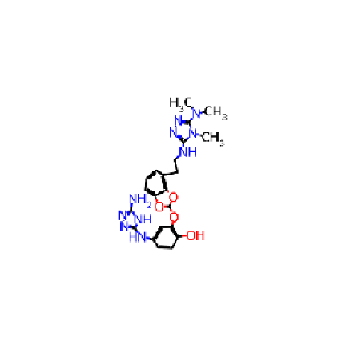 CN(C)c1nnc(NCCc2cccc3c2OC(Oc2cc(Nc4nnc(N)[nH]4)ccc2O)O3)n1C